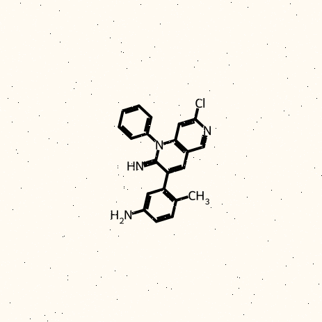 Cc1ccc(N)cc1-c1cc2cnc(Cl)cc2n(-c2ccccc2)c1=N